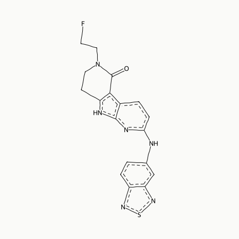 O=C1c2c([nH]c3nc(Nc4ccc5nsnc5c4)ccc23)CCN1CCF